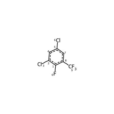 Fc1c(Cl)cc(Cl)cc1C(F)(F)F